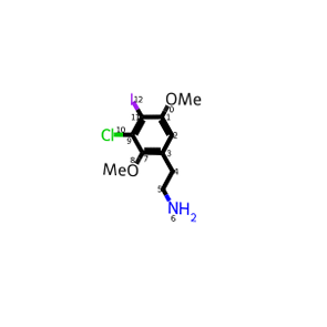 COc1cc(CCN)c(OC)c(Cl)c1I